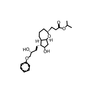 CC(C)OC(=O)CC[C@@H]1CCC[C@@H]2[C@@H](/C=C/[C@@H](O)COc3ccccc3)[C@H](O)C[C@@H]2O1